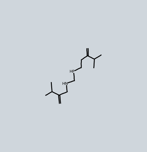 C=C(CCPCNCC(=C)C(C)C)C(C)C